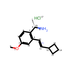 COc1ccc([C@H](C)N)c(/C=C/C2CCC2)c1.Cl